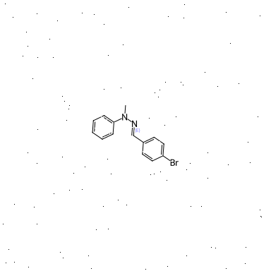 CN(/N=C/c1ccc(Br)cc1)c1ccccc1